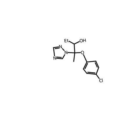 CCC(O)C(C)(Oc1ccc(Cl)cc1)n1cncn1